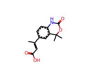 CC(=CC(=O)O)c1ccc2c(c1)C(C)(C)OC(=O)N2